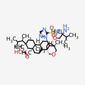 CC(C)[C@@H](C)[C@@]1(C)CC[C@]2(C)[C@H]3CC[C@@H]4[C@@]5(COC[C@@]4(C)[C@@H](OC[C@](C)(N)C(C)C)[C@H](n4ncnc4S(N)(=O)=O)C5)C3=CC[C@@]2(C)[C@@H]1C(=O)O